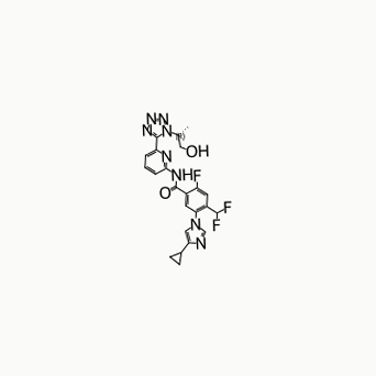 C[C@H](CO)n1nnnc1-c1cccc(NC(=O)c2cc(-n3cnc(C4CC4)c3)c(C(F)F)cc2F)n1